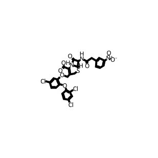 O=C(Cc1cccc([N+](=O)[O-])c1)NC1C(=O)N2C(C(=O)O)=C(COc3cc(Cl)ccc3Oc3ccc(Cl)cc3Cl)CS[C@@H]12